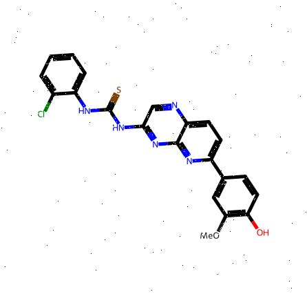 COc1cc(-c2ccc3ncc(NC(=S)Nc4ccccc4Cl)nc3n2)ccc1O